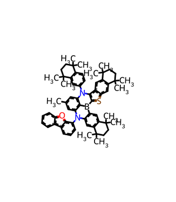 Cc1cc2c3c(c1)N(c1cccc4c1oc1ccccc14)c1cc4c(cc1B3c1sc3cc5c(cc3c1N2c1ccc2c(c1)C(C)(C)CCC2(C)C)C(C)(C)CCC5(C)C)C(C)(C)CCC4(C)C